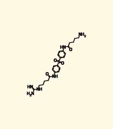 N=C(N)NCCCCC(=O)Nc1ccc(S(=O)(=O)c2ccc(NC(=O)CCCCN)cc2)cc1